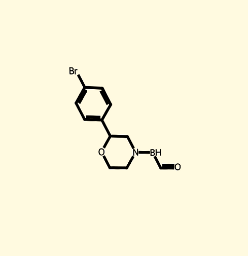 O=CBN1CCOC(c2ccc(Br)cc2)C1